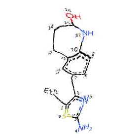 CCc1sc(N)nc1-c1ccc2c(c1)CCC(O)N2